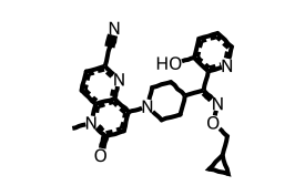 Cn1c(=O)cc(N2CCC(/C(=N\OCC3CC3)c3ncccc3O)CC2)c2nc(C#N)ccc21